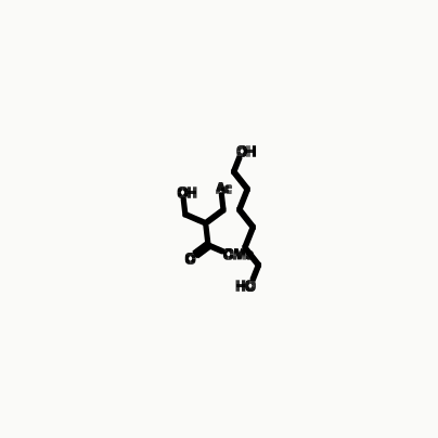 COC(=O)C(CO)CC(C)=O.OCCCCCCO